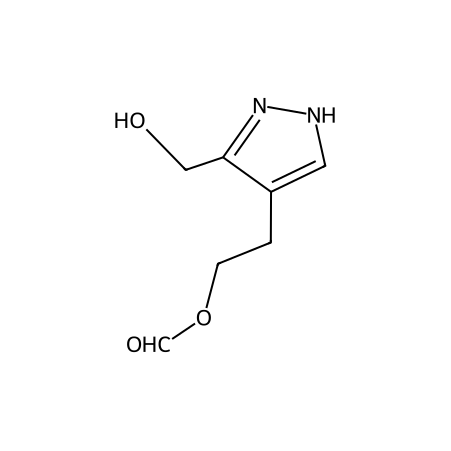 O=COCCc1c[nH]nc1CO